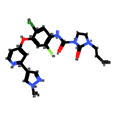 COCCN1CCN(C(=O)Nc2cc(Cl)c(Oc3ccnc(-c4cnn(C)c4)c3)cc2F)C1=O